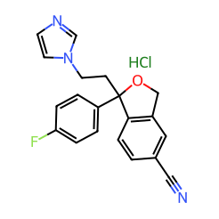 Cl.N#Cc1ccc2c(c1)COC2(CCn1ccnc1)c1ccc(F)cc1